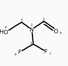 O=[C]N(CO)C(F)F